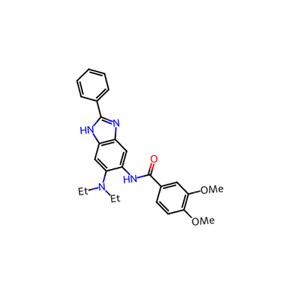 CCN(CC)c1cc2[nH]c(-c3ccccc3)nc2cc1NC(=O)c1ccc(OC)c(OC)c1